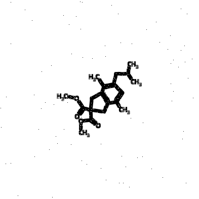 COC(=O)C1(C(=O)OC)Cc2c(C)cc(CC(C)C)c(C)c2C1